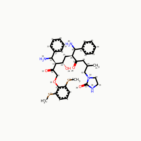 CSc1cccc(SC)c1OCC(=O)[C@@H](C(N)c1ccccc1)[C@@H](O)C[C@H](C(=O)CC(C)CN1CCNC1=O)C(N)c1ccccc1